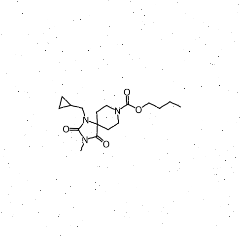 CCCCOC(=O)N1CCC2(CC1)C(=O)N(C)C(=O)N2CC1CC1